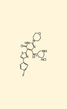 Cl.O=c1[nH]c(N2CCOCC2)nc(N[C@@H]2CCCNC2)c1-c1nc(-c2ccc(F)cc2)cs1